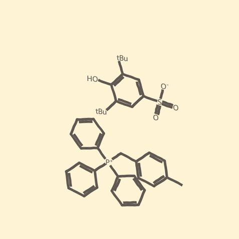 CC(C)(C)c1cc(S(=O)(=O)[O-])cc(C(C)(C)C)c1O.Cc1ccc(C[P+](c2ccccc2)(c2ccccc2)c2ccccc2)cc1